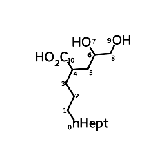 CCCCCCCCCCC(CC(O)CO)C(=O)O